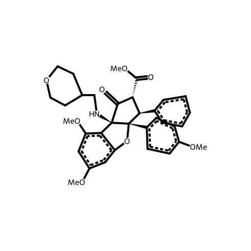 COC(=O)[C@H]1C(=O)[C@@]2(NCC3CCOCC3)c3c(OC)cc(OC)cc3O[C@@]2(c2ccc(OC)cc2)[C@@H]1c1ccccc1